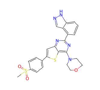 CS(=O)(=O)c1ccc(-c2cc3nc(-c4cccc5[nH]ncc45)nc(N4CCOCC4)c3s2)cc1